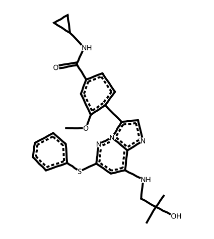 COc1cc(C(=O)NC2CC2)ccc1-c1cnc2c(NCC(C)(C)O)cc(Sc3ccccc3)nn12